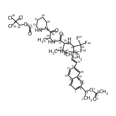 CC(=O)OC(C)c1ccc2ccc(/C=C/C(C)(C)C(NC(C(=O)NC(C)C(=O)N3CCC[C@@H](C(=O)OCC(Cl)(Cl)Cl)N3)C(C)C)C(F)(F)F)cc2n1